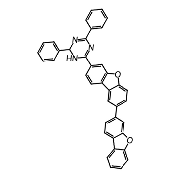 c1ccc(C2=NC(c3ccccc3)NC(c3ccc4c(c3)oc3ccc(-c5ccc6c(c5)oc5ccccc56)cc34)=N2)cc1